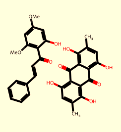 COc1cc(O)c(C(=O)C=Cc2ccccc2)c(OC)c1.Cc1cc(O)c2c(c1O)C(=O)c1c(O)cc(C)c(O)c1C2=O